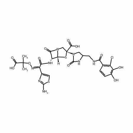 CC(C)(O/N=C(\C(=O)N[C@@H]1C(=O)N2C[C@@](C(=O)O)(N3CC(CNC(=O)c4ccc(O)c(O)c4Cl)NC3=O)S[C@H]12)c1csc(N)n1)C(=O)O